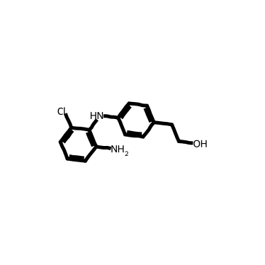 Nc1cccc(Cl)c1Nc1ccc(CCO)cc1